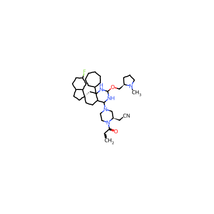 C=CC(=O)N1CCN(C2NC(OC[C@H]3CCCN3C)NC3(C4CCCCCC4)C[C@@]4(CCC5CCC(F)CC54)CCC23)C[C@H]1CC#N